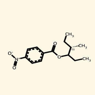 CCC(OC(=O)c1ccc([N+](=O)[O-])cc1)[C@@H](C)CC